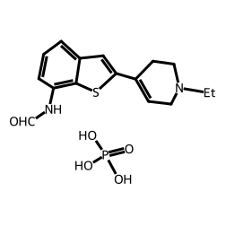 CCN1CC=C(c2cc3cccc(NC=O)c3s2)CC1.O=P(O)(O)O